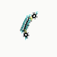 Fc1ccc(SC(F)(F)C(F)(F)C(F)(F)C(F)(F)C(F)(F)C(F)(F)C(F)(F)C(F)(F)Sc2ccc(F)cc2)cc1